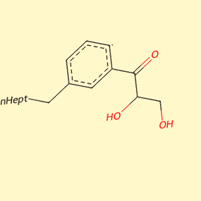 CCCCCCCCc1cc[c]c(C(=O)C(O)CO)c1